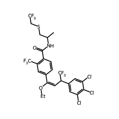 CCO/C(=C/C(c1cc(Cl)c(Cl)c(Cl)c1)C(F)(F)F)c1ccc(C(=O)NC(C)CSCC(F)(F)F)c(C(F)(F)F)c1